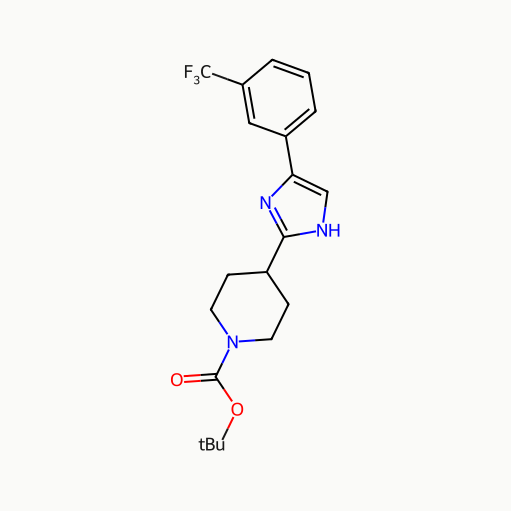 CC(C)(C)OC(=O)N1CCC(c2nc(-c3cccc(C(F)(F)F)c3)c[nH]2)CC1